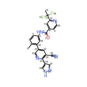 Cc1ccc(NC(=O)c2ccnc(C(C)(F)F)c2)cc1-c1cnc(-c2cn[nH]c2)c(C#N)c1